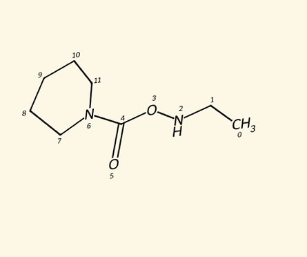 CCNOC(=O)N1CCCCC1